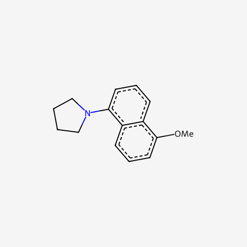 COc1cccc2c(N3CCCC3)cccc12